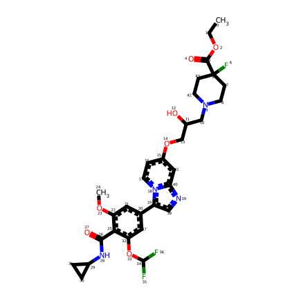 CCOC(=O)C1(F)CCN(CC(O)COc2ccn3c(-c4cc(OC)c(C(=O)NC5CC5)c(OC(F)F)c4)cnc3c2)CC1